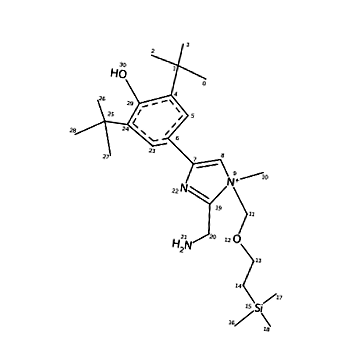 CC(C)(C)c1cc(C2=C[N+](C)(COCC[Si](C)(C)C)C(CN)=N2)cc(C(C)(C)C)c1O